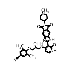 Cc1cc(C#N)cc(C)c1OCC(O)CNc1cc[nH]c(=O)c1-c1nc2cc3c(cc2[nH]1)C(=O)N(C1CCN(C)CC1)C3=O